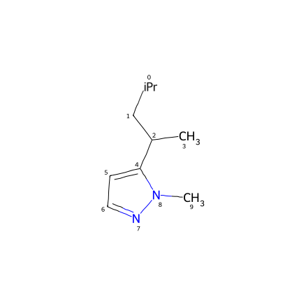 CC(C)CC(C)c1ccnn1C